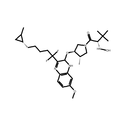 COc1ccc2c(c1)NC(O[C@H]1CN(C(=O)[C@@H](NO)C(C)(C)C)C[C@@H]1C)C(C(F)(F)CCCC[C@@H]1CC1C)=N2